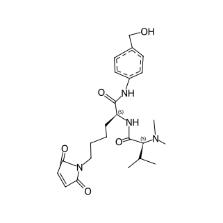 CC(C)[C@@H](C(=O)N[C@@H](CCCCN1C(=O)C=CC1=O)C(=O)Nc1ccc(CO)cc1)N(C)C